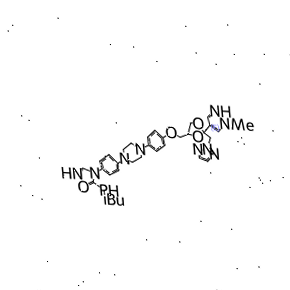 CCC(C)PC(=O)N(C=N)c1ccc(N2CCN(c3ccc(OCC4COC(Cn5nccn5)(/C(C=N)=C/NC)O4)cc3)CC2)cc1